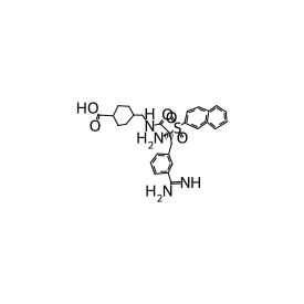 N=C(N)c1cccc(C[C@](N)(C(=O)NCC2CCC(C(=O)O)CC2)S(=O)(=O)c2ccc3ccccc3c2)c1